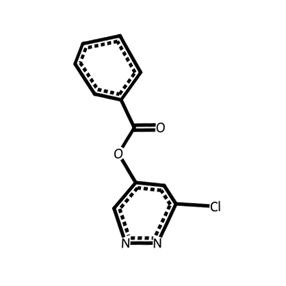 O=C(Oc1cnnc(Cl)c1)c1ccccc1